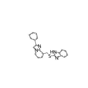 c1ccc(-c2cn3cccc(CSc4nc5ccccc5[nH]4)c3n2)cc1